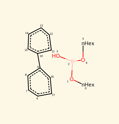 CCCCCCOB(O)OCCCCCC.c1ccc(-c2ccccc2)cc1